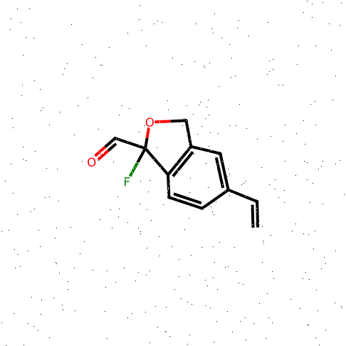 C=Cc1ccc2c(c1)COC2(F)C=O